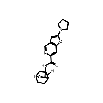 O=C(N[C@H]1CN2CCC1CC2)c1cc2oc(N3CCCC3)cc2cn1